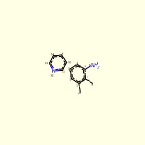 Cc1cccc(N)c1C.c1ccncc1